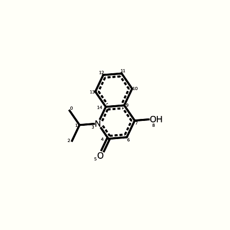 CC(C)n1c(=O)cc(O)c2ccccc21